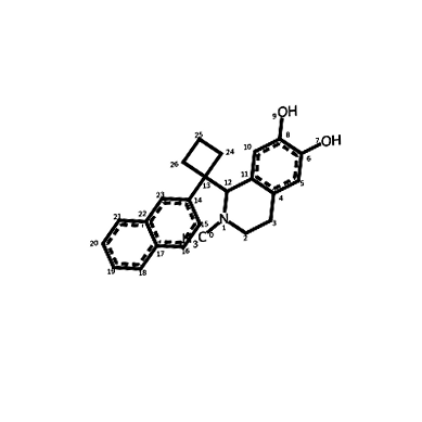 CN1CCc2cc(O)c(O)cc2C1C1(c2ccc3ccccc3c2)CCC1